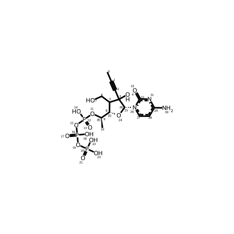 CC#CC1(O)C(CO)[C@@H]([C@@H](C)OP(=O)(O)OP(=O)(O)OP(=O)(O)O)O[C@H]1n1ccc(N)nc1=O